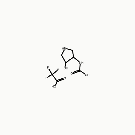 O=C(O)C(F)(F)F.O=C(O)NC1CNCC1O